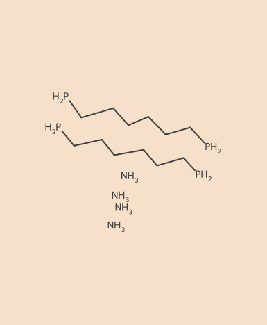 N.N.N.N.PCCCCCCP.PCCCCCCP